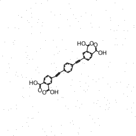 O=C(O)c1ccc(C#Cc2ccc(C#Cc3ccc(C(=O)O)c(C(=O)O)c3)cc2)cc1C(=O)O